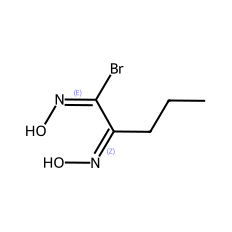 CCCC(=N/O)/C(Br)=N\O